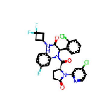 O=C(NC1CC(F)(F)C1)[C@@H](c1ccccc1Cl)N(C(=O)[C@@H]1CCC(=O)N1c1cc(Cl)ccn1)c1cccc(F)c1